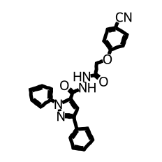 N#Cc1ccc(OCC(=O)NNC(=O)c2cc(-c3ccccc3)nn2-c2ccccc2)cc1